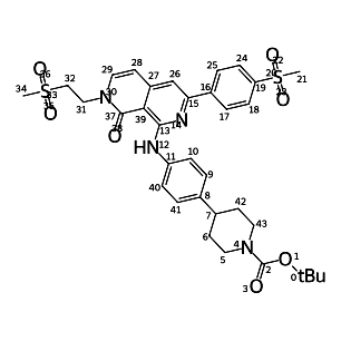 CC(C)(C)OC(=O)N1CCC(c2ccc(Nc3nc(-c4ccc(S(C)(=O)=O)cc4)cc4ccn(CCS(C)(=O)=O)c(=O)c34)cc2)CC1